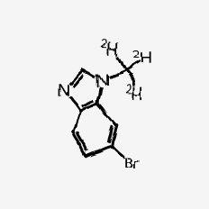 [2H]C([2H])([2H])n1cnc2ccc(Br)cc21